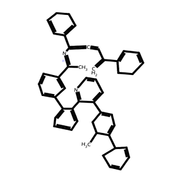 C=C(C=C=C(/N=C(\C)c1cccc(-c2ccccc2-c2ncccc2C2=CC=C(C3C=CC=CC3)C(C)C2)c1)C1=CCCC=C1)C1=CC=CCC1